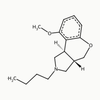 [CH2]CCCN1C[C@H]2COc3cccc(OC)c3[C@@H]2C1